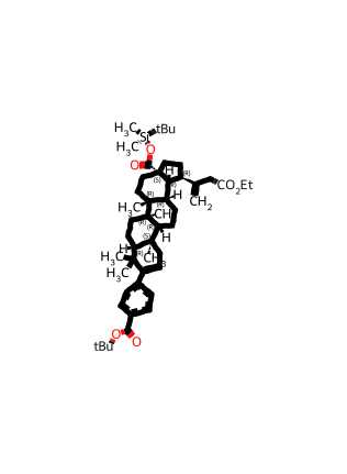 C=C(CC(=O)OCC)[C@@H]1CC[C@]2(C(=O)O[Si](C)(C)C(C)(C)C)CC[C@]3(C)[C@H](CC[C@@H]4[C@@]5(C)CC=C(c6ccc(C(=O)OC(C)(C)C)cc6)C(C)(C)[C@@H]5CC[C@]43C)[C@@H]12